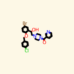 O=C(c1cccnc1)N1CCN(CC(O)c2cc(Br)ccc2OCc2ccc(Cl)cc2)CC1